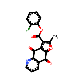 Cc1oc2c(c1C(=O)Oc1ccccc1Cl)C(=O)c1ncccc1C2=O